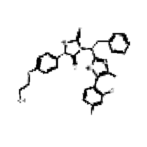 Cc1nc([C@H](Cc2ccccc2)N2C(=O)N[C@H](c3ccc(OCCO)cc3)C2=O)[nH]c1-c1ccc(I)cc1Cl